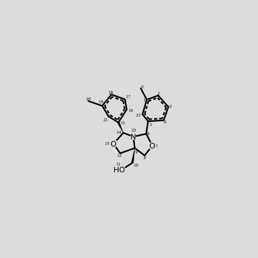 Cc1cccc(C2OC[C@]3(CO)CO[C@@H](c4cccc(C)c4)N23)c1